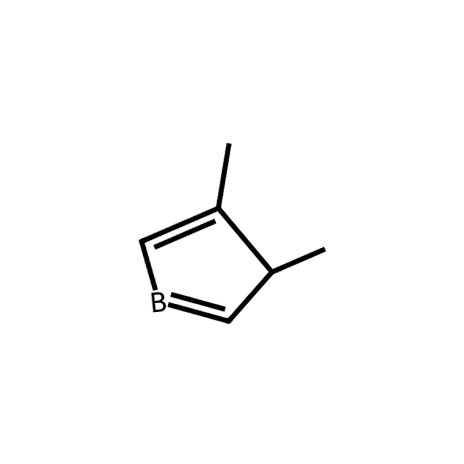 CC1=CB=CC1C